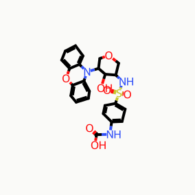 O=C(O)Nc1ccc(S(=O)(=O)NC2COCC(N3c4ccccc4Oc4ccccc43)C2O)cc1